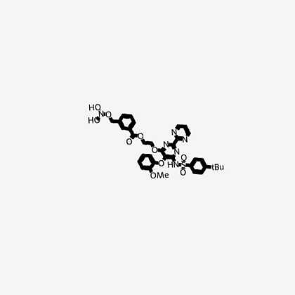 COc1ccccc1Oc1c(NS(=O)(=O)c2ccc(C(C)(C)C)cc2)nc(-c2ncccn2)nc1OCCOC(=O)c1cccc(CON(O)O)c1